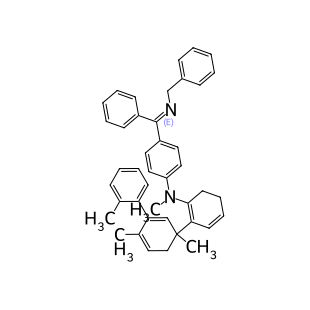 CC1=CCC(C)(C2=C(N(C)c3ccc(/C(=N/Cc4ccccc4)c4ccccc4)cc3)CCC=C2)C=C1c1ccccc1C